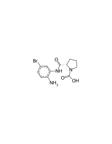 Nc1ccc(Br)cc1NC(=O)[C@@H]1CCCN1C(=O)O